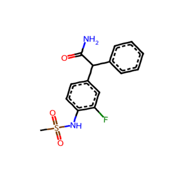 CS(=O)(=O)Nc1ccc(C(C(N)=O)c2ccccc2)cc1F